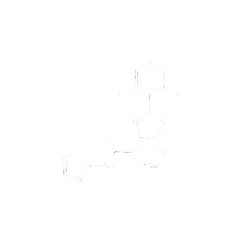 O=C(Nc1nccs1)c1cccc2[nH]c(-c3c(F)cccc3F)nc12